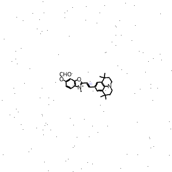 C[n+]1c(/C=C/c2cc3c4c(c2)C(C)(C)CCN4CCC3(C)C)oc2cc(OC=O)ccc21